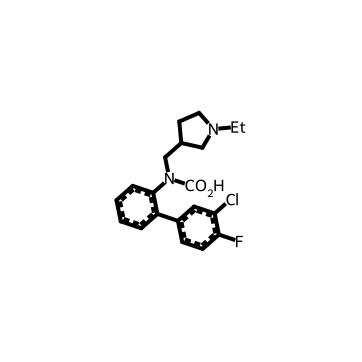 CCN1CCC(CN(C(=O)O)c2ccccc2-c2ccc(F)c(Cl)c2)C1